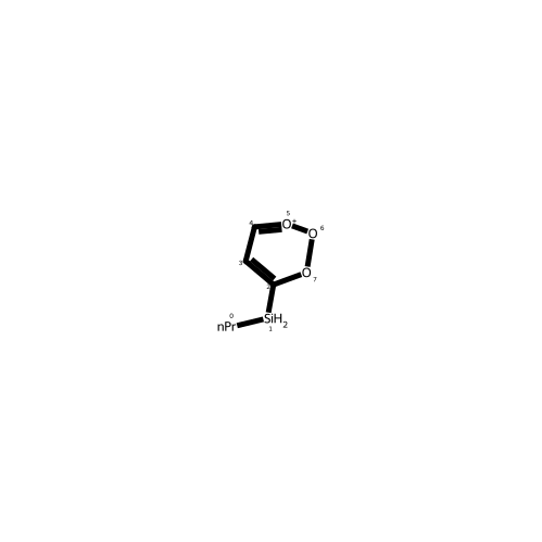 CCC[SiH2]C1=CC=[O+]OO1